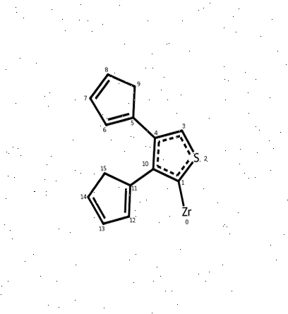 [Zr][c]1scc(C2=CC=CC2)c1C1=CC=CC1